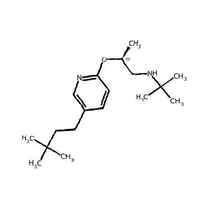 C[C@@H](CNC(C)(C)C)Oc1ccc(CCC(C)(C)C)cn1